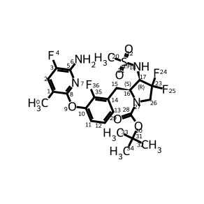 Cc1cc(F)c(N)nc1Oc1cccc(C[C@H]2[C@@H](NS(C)(=O)=O)C(F)(F)CN2C(=O)OC(C)(C)C)c1F